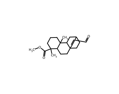 COC(=O)C1(C)CCCC2(C)C3CC4CCC3(C=C4C=O)CCC12